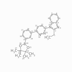 CCc1nc2ccccc2n1-c1ccc(-c2cccc(B3OC(C)(C)C(C)(C)O3)c2)nn1